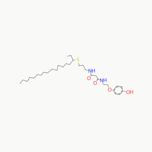 CCCCCCCCCCCCCCCC(CC)SCCCNC(=O)CC(=O)NCCOc1ccc(O)cc1